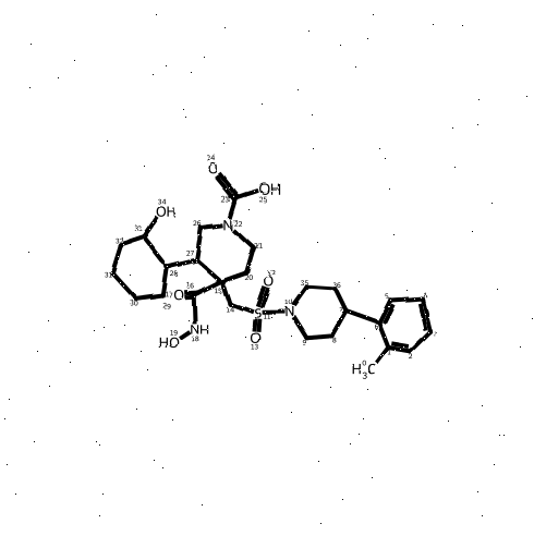 Cc1ccccc1C1CCN(S(=O)(=O)CC2(C(=O)NO)CCN(C(=O)O)CC2C2CCCCC2O)CC1